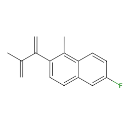 C=C(C)C(=C)c1ccc2cc(F)ccc2c1C